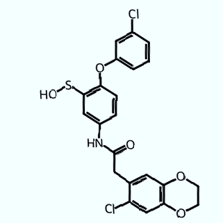 O=C(Cc1cc2c(cc1Cl)OCCO2)Nc1ccc(Oc2cccc(Cl)c2)c(SO)c1